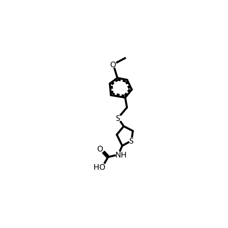 COc1ccc(CSC2CSC(NC(=O)O)C2)cc1